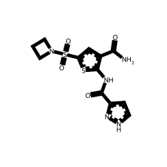 NC(=O)c1cc(S(=O)(=O)N2CCC2)sc1NC(=O)c1cc[nH]n1